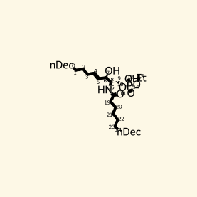 CCCCCCCCCCCCC/C=C/[C@@H](O)[C@H](COP(=O)(O)OCC)NC(=O)CCCCCCCCCCCCCCC